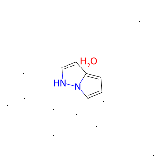 O.c1cc2cc[nH]n2c1